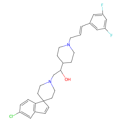 OC(CN1CCC2(C=Cc3cc(Cl)ccc32)CC1)C1CCN(C/C=C/c2cc(F)cc(F)c2)CC1